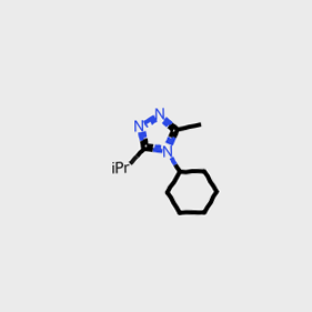 Cc1nnc(C(C)C)n1C1CCCCC1